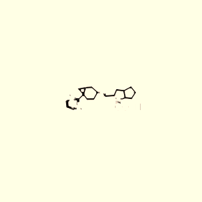 O=C(O)N1C(COC2CCC3(c4ncccn4)CC3C2)CC2CCCC21